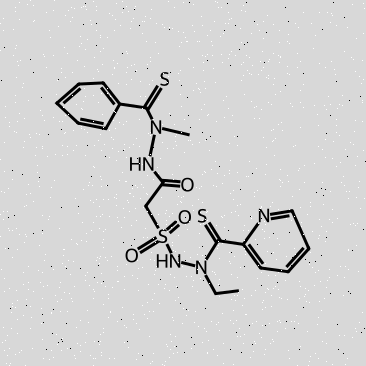 CCN(NS(=O)(=O)CC(=O)NN(C)C(=S)c1ccccc1)C(=S)c1ccccn1